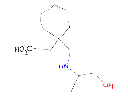 CC(CO)NCC1(CC(=O)O)CCCCC1